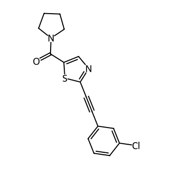 O=C(c1cnc(C#Cc2cccc(Cl)c2)s1)N1CCCC1